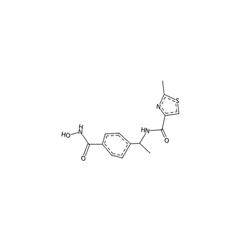 Cc1nc(C(=O)NC(C)c2ccc(C(=O)NO)cc2)cs1